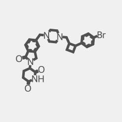 O=C1CCC(N2Cc3cc(CN4CCN(CC5CCC5c5ccc(Br)cc5)CC4)ccc3C2=O)C(=O)N1